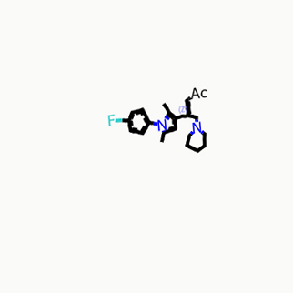 CC(=O)/C=C(\CN1CCCCC1)c1cc(C)n(-c2ccc(F)cc2)c1C